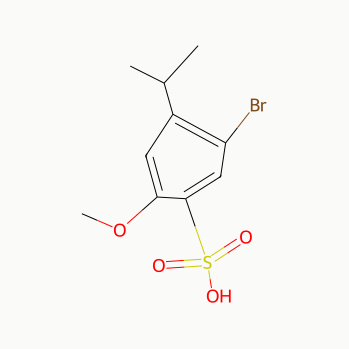 COc1cc(C(C)C)c(Br)cc1S(=O)(=O)O